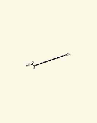 C#CC#CC#CC#CC#CC#CC#CC#CNC(=O)CCC